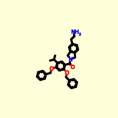 CC(C)c1cc(C(=O)N2Cc3ccc(CCN)cc3C2)c(OCc2ccccc2)cc1OCc1ccccc1